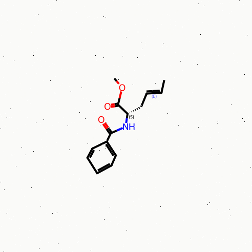 C/C=C/C[C@H](NC(=O)c1ccccc1)C(=O)OC